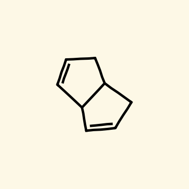 C1=CC2C=CCC2C1